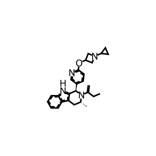 C=C(CC)N1[C@H](c2ccc(OC3CN(C4CC4)C3)nc2)c2[nH]c3ccccc3c2C[C@H]1C